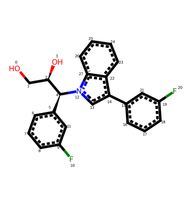 OC[C@@H](O)[C@H](c1cccc(F)c1)n1cc(-c2cccc(F)c2)c2ccccc21